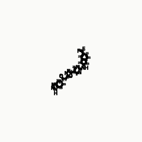 O=C(Cc1nnc(-c2cnc(N[C@H]3Cc4ccc(C(F)F)cc4C3)nc2)o1)N1CCc2[nH]nnc2C1